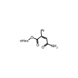 CCCCCCOC(=O)/C(=C\C(N)=O)C(C)C